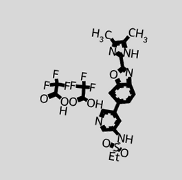 CCS(=O)(=O)Nc1cncc(-c2ccc3nc(-c4nc(C)c(C)[nH]4)oc3c2)c1.O=C(O)C(F)(F)F.O=C(O)C(F)(F)F